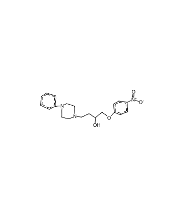 O=[N+]([O-])c1ccc(OCC(O)CCN2CCN(c3ccccc3)CC2)cc1